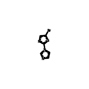 Brc1cnc(-n2ccnc2)s1